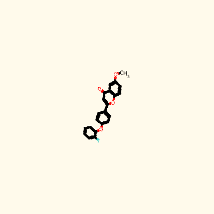 COc1ccc2oc(-c3ccc(Oc4ccccc4F)cc3)cc(=O)c2c1